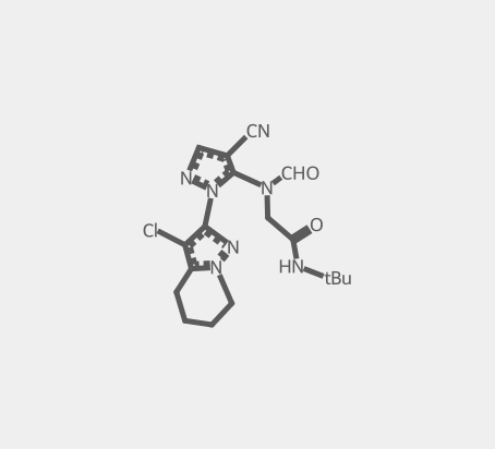 CC(C)(C)NC(=O)CN(C=O)c1c(C#N)cnn1-c1nn2c(c1Cl)CCCC2